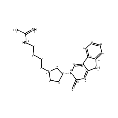 N=C(N)NCCCCN1CC[C@@H](n2cc3c(nc2=O)[nH]c2ccccc23)C1